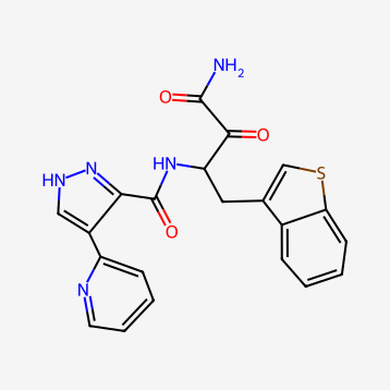 NC(=O)C(=O)C(Cc1csc2ccccc12)NC(=O)c1n[nH]cc1-c1ccccn1